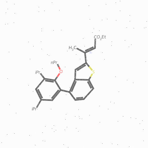 CCCOc1c(-c2cccc3sc(/C(C)=C/C(=O)OCC)cc23)cc(C(C)C)cc1C(C)C